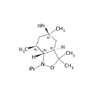 CCC[C@@]1(C)C[C@@H]2[C@@H]([C@@H](C)C1)N(C(C)C)OC2(C)C